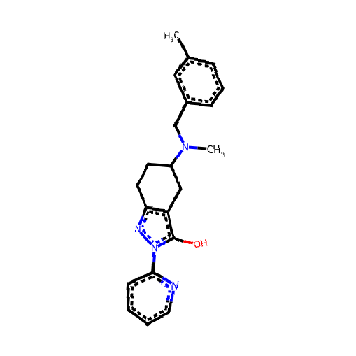 Cc1cccc(CN(C)C2CCc3nn(-c4ccccn4)c(O)c3C2)c1